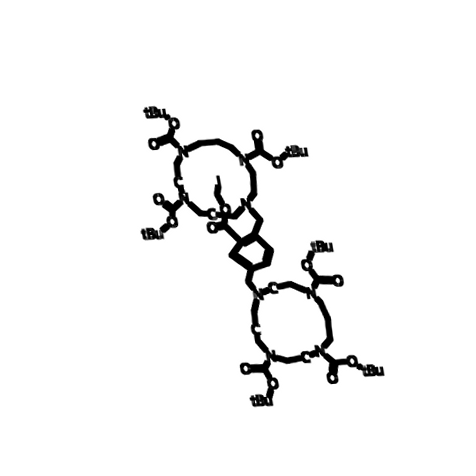 CC(C)(C)OC(=O)N1CCCN(C(=O)OC(C)(C)C)CCN(C(=O)OC(C)(C)C)CCCN(Cc2ccc(CN3CCCN(C(=O)OC(C)(C)C)CCN(C(=O)OC(C)(C)C)CCCN(C(=O)OC(C)(C)C)CC3)c(C(=O)OCI)c2)CC1